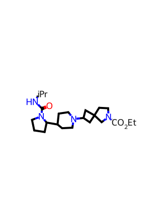 CCOC(=O)N1CCC2(CC(N3CCC(C4CCCN4C(=O)NC(C)C)CC3)C2)C1